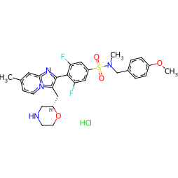 COc1ccc(CN(C)S(=O)(=O)c2cc(F)c(-c3nc4cc(C)ccn4c3C[C@H]3CNCCO3)c(F)c2)cc1.Cl